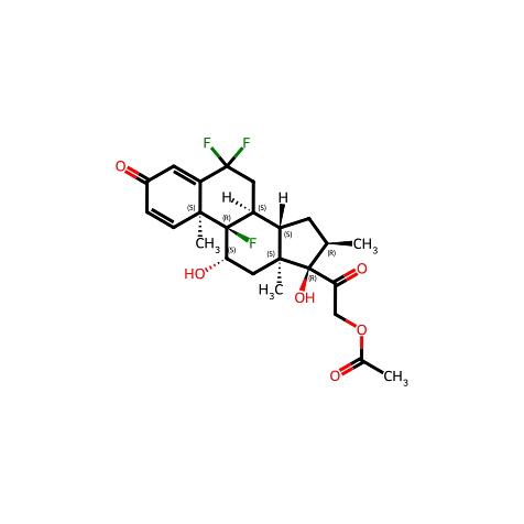 CC(=O)OCC(=O)[C@@]1(O)[C@H](C)C[C@H]2[C@@H]3CC(F)(F)C4=CC(=O)C=C[C@]4(C)[C@@]3(F)[C@@H](O)C[C@@]21C